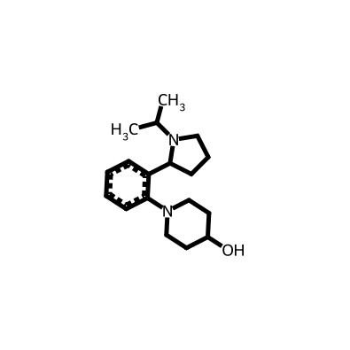 CC(C)N1CCCC1c1ccccc1N1CCC(O)CC1